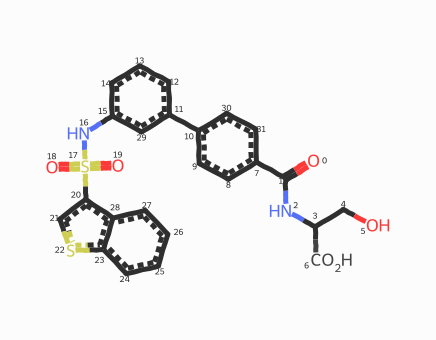 O=C(NC(CO)C(=O)O)c1ccc(-c2cccc(NS(=O)(=O)c3csc4ccccc34)c2)cc1